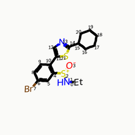 CCN[S+]([O-])c1cc(Br)ccc1-c1cnc(C2CCCCC2)s1